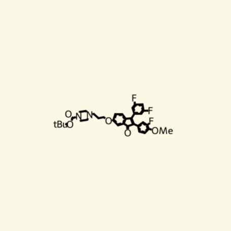 COc1ccc(C2=C(c3cc(F)cc(F)c3)c3ccc(OCCCN4CCN(C(=O)OC(C)(C)C)CC4)cc3C2=O)cc1F